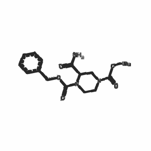 CC(C)(C)OC(=O)N1CCN(C(=O)OCc2ccccc2)C(C(N)=O)C1